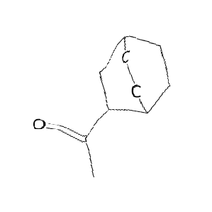 CC(=O)C1CC2CCC1CC2